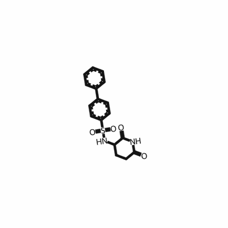 O=C1CCC(NS(=O)(=O)c2ccc(-c3ccccc3)cc2)C(=O)N1